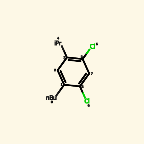 CCCCc1cc(C(C)C)c(Cl)cc1Cl